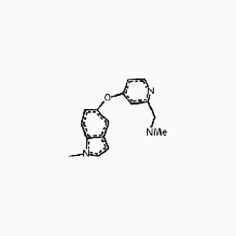 CNCc1cc(Oc2ccc3c(ccn3C)c2)ccn1